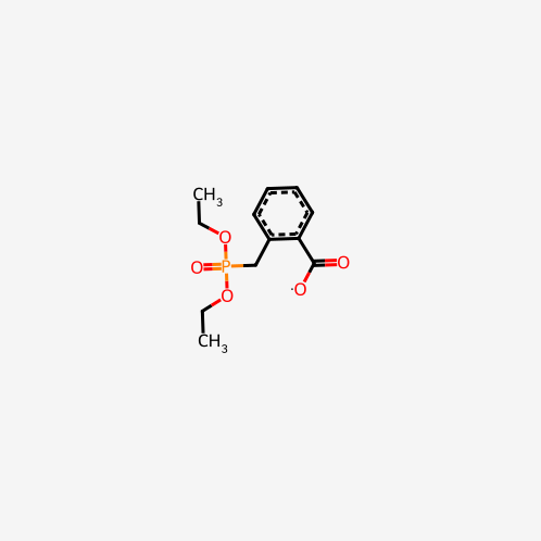 CCOP(=O)(Cc1ccccc1C([O])=O)OCC